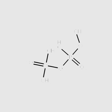 COP(C)(=O)OP(C)(C)=O